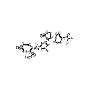 Cc1cc([C@@H](C)Nc2ccc(Cl)nc2C(=O)O)nc(N2C(=O)OC[C@@H]2Cc2ccc(C(=O)N(C)C)cc2)c1